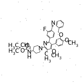 COc1ccc(-c2c(-c3ccc(C#N)c(F)c3)nc(N3CCC(NC(=O)OC(C)(C)C)CC3)c(C)c2OC)cc1OCc1ccccc1